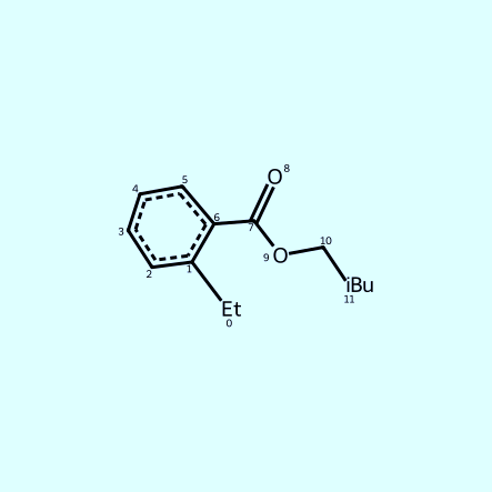 CCc1ccccc1C(=O)OCC(C)CC